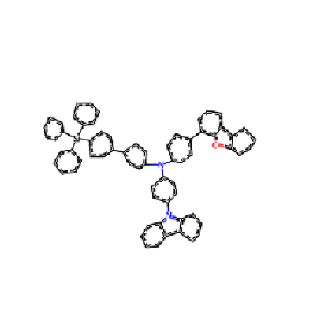 c1ccc([Si](c2ccccc2)(c2ccccc2)c2ccc(-c3ccc(N(c4ccc(-c5cccc6c5oc5ccccc56)cc4)c4ccc(-n5c6ccccc6c6ccccc65)cc4)cc3)cc2)cc1